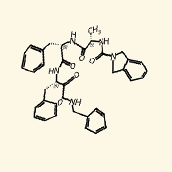 C[C@H](NC(=O)N1Cc2ccccc2C1)C(=O)N[C@@H](Cc1ccccc1)C(=O)N[C@@H](Cc1ccccc1)C(=O)C(=O)NCc1ccccc1